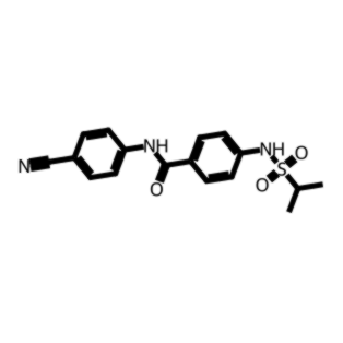 CC(C)S(=O)(=O)Nc1ccc(C(=O)Nc2ccc(C#N)cc2)cc1